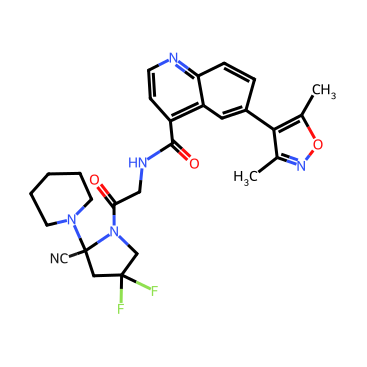 Cc1noc(C)c1-c1ccc2nccc(C(=O)NCC(=O)N3CC(F)(F)CC3(C#N)N3CCCCC3)c2c1